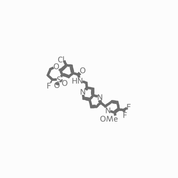 COc1nc(-c2ccc3cnc(CNC(=O)c4cc(Cl)c5c(c4)S(=O)(=O)[C@@H](F)CCO5)cc3n2)ccc1C(F)F